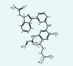 C=CC(=O)Nc1cc(Nc2nccc(-c3cn(CC(N)=O)c4ccccc34)n2)c(C)cc1N(C)CCN(C)C